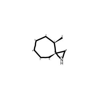 C[C@@H]1CCCCC[C@]12CN2